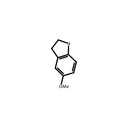 COc1ccc2c(c1)CC[N]2